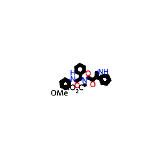 COc1cccc(NC(=O)C(C2CCCCC2)N(CC(=O)O)C(=O)C(=O)c2c[nH]c3ccccc23)c1